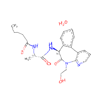 C[C@H](NC(=O)CCC(F)(F)F)C(=O)N[C@@H]1C(=O)N(CCO)c2ncccc2-c2ccccc21.O